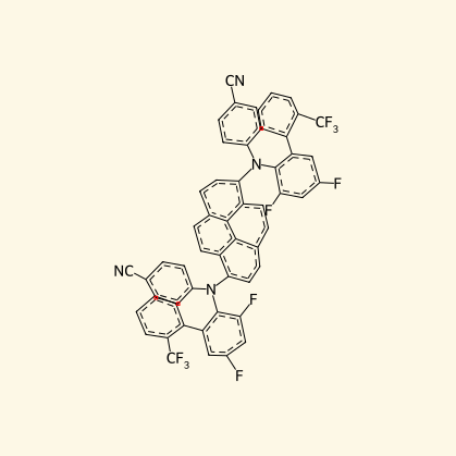 N#Cc1ccc(N(c2c(F)cc(F)cc2-c2ccccc2C(F)(F)F)c2ccc3ccc4c(N(c5ccc(C#N)cc5)c5c(F)cc(F)cc5-c5ccccc5C(F)(F)F)ccc5ccc2c3c54)cc1